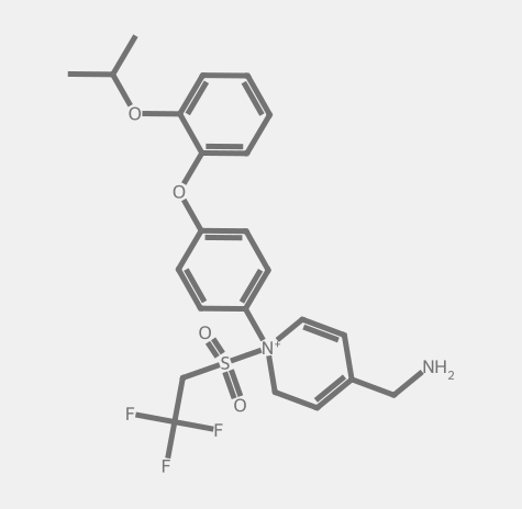 CC(C)Oc1ccccc1Oc1ccc([N+]2(S(=O)(=O)CC(F)(F)F)C=CC(CN)=CC2)cc1